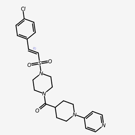 O=C(C1CCN(c2ccncc2)CC1)N1CCN(S(=O)(=O)/C=C/c2ccc(Cl)cc2)CC1